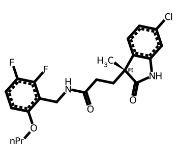 CCCOc1ccc(F)c(F)c1CNC(=O)CC[C@@]1(C)C(=O)Nc2cc(Cl)ccc21